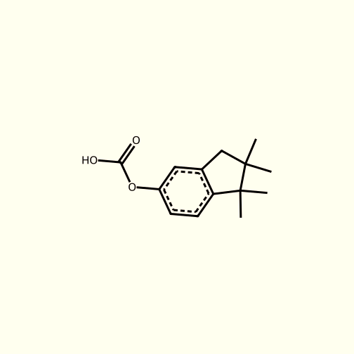 CC1(C)Cc2cc(OC(=O)O)ccc2C1(C)C